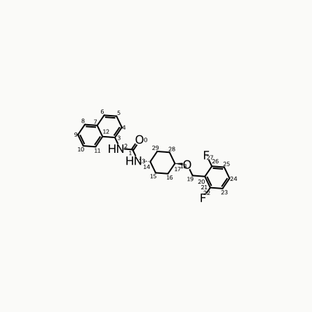 O=C(Nc1cccc2ccccc12)N[C@H]1CC[C@H](OCc2c(F)cccc2F)CC1